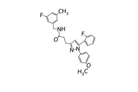 COc1ccc(-n2nc(CCC(=O)NCc3cc(C)cc(F)c3)cc2-c2ccccc2F)cc1